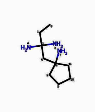 CCC(N)(N)CC1(N)CCCC1